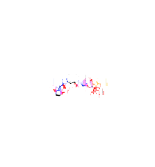 C[C@](O)(CO)[C@@H](CS)[C@H](O)[C@@H](O)CNC(=O)CC[C@H](NC(=O)CN1C(=O)C=CC1=O)C(=O)O